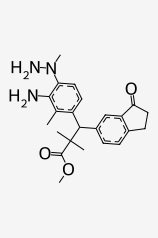 COC(=O)C(C)(C)C(c1ccc2c(c1)C(=O)CC2)c1ccc(N(C)N)c(N)c1C